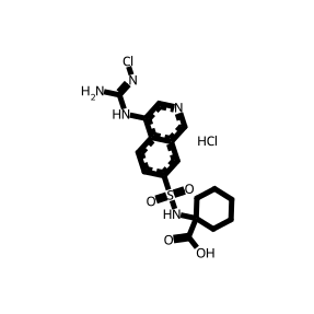 Cl.NC(=NCl)Nc1cncc2cc(S(=O)(=O)NC3(C(=O)O)CCCCC3)ccc12